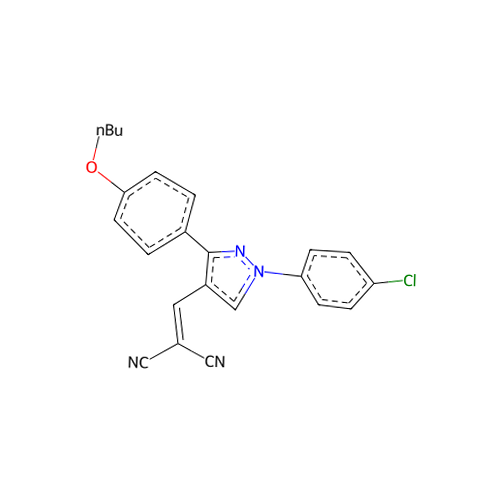 CCCCOc1ccc(-c2nn(-c3ccc(Cl)cc3)cc2C=C(C#N)C#N)cc1